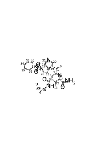 C=C(c1cc(C(=O)N[C@H]2C[C@@H]2C)c(C)c(C(N)=O)n1)c1cncc2c1ccn2S(=O)(=O)c1ccccc1